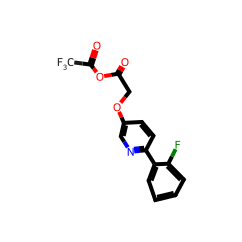 O=C(COc1ccc(-c2ccccc2F)nc1)OC(=O)C(F)(F)F